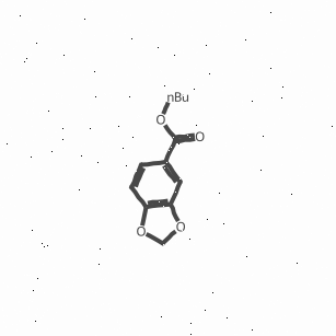 CCCCOC(=O)c1ccc2c(c1)OCO2